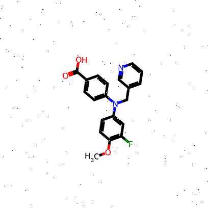 COc1ccc(N(Cc2cccnc2)c2ccc(C(=O)O)cc2)cc1F